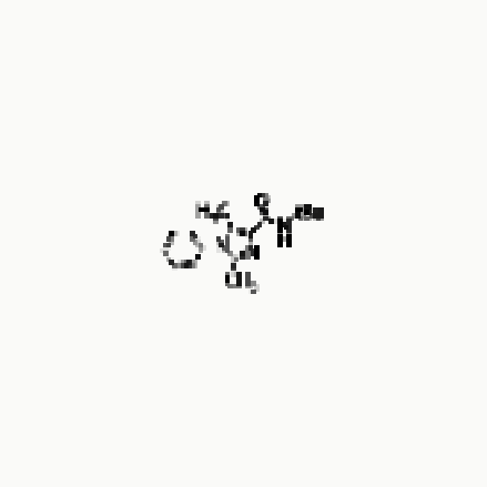 Cc1nc(C(=O)NC(C)(C)C)c(C)n1-c1ccccc1